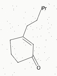 CC(C)CCC1=CC(=O)CCC1